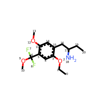 CCOc1cc(C(F)(F)OC)c(OC)cc1CC(N)CC